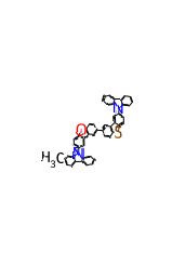 Cc1ccc2c3ccccc3n(-c3ccc4oc5ccc(-c6ccc7sc8ccc(-n9c%10ccccc%10c%10ccccc%109)cc8c7c6)cc5c4c3)c2c1